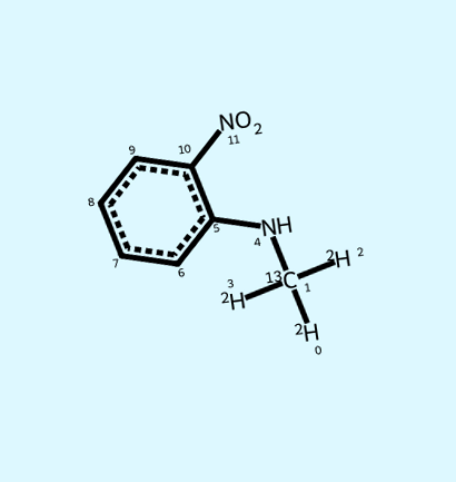 [2H][13C]([2H])([2H])Nc1ccccc1[N+](=O)[O-]